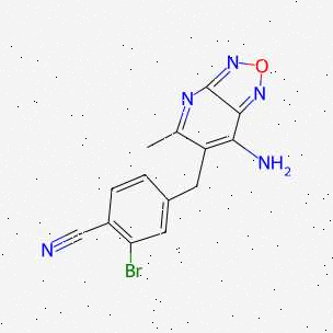 Cc1nc2nonc2c(N)c1Cc1ccc(C#N)c(Br)c1